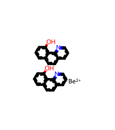 Oc1cccc2ccc3cccnc3c12.Oc1cccc2ccc3cccnc3c12.[Be+2]